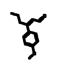 CCC/C(=C/C=O)c1ccc(OC)cc1